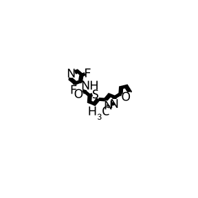 Cn1nc(-c2ccco2)cc1-c1ccc(C(=O)Nc2c(F)cncc2F)s1